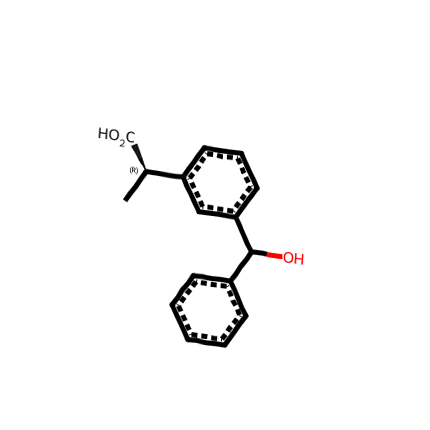 C[C@@H](C(=O)O)c1cccc(C(O)c2ccccc2)c1